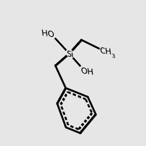 CC[Si](O)(O)Cc1ccccc1